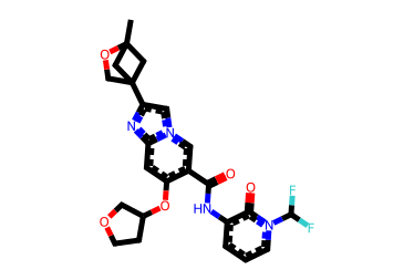 CC12CC(c3cn4cc(C(=O)Nc5cccn(C(F)F)c5=O)c(OC5CCOC5)cc4n3)(CO1)C2